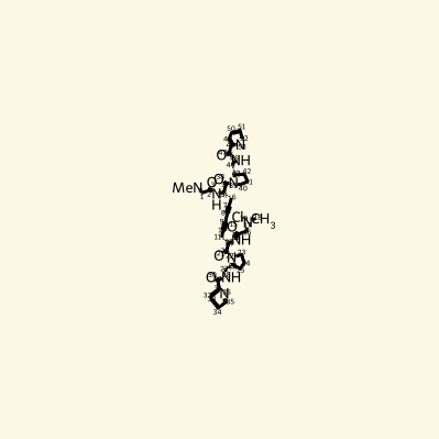 CNCC(=O)N[C@@H](CC#CC#CC[C@H](NC(=O)CN(C)Cl)C(=O)N1CCC[C@H]1CNC(=O)c1ccccn1)C(=O)N1CCC[C@H]1CNC(=O)c1ccccn1